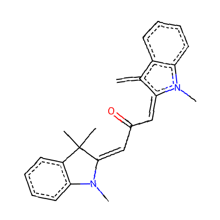 C=c1/c(=C\C(=O)/C=C2/N(C)c3ccccc3C2(C)C)n(C)c2ccccc12